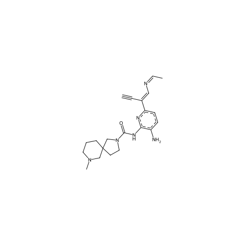 C#C/C(=C\N=C/C)c1ccc(N)c(NC(=O)N2CCC3(CCCN(C)C3)C2)n1